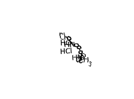 CS(=O)(=O)NC(=O)c1ccc(-c2ccc3c(c2)C[C@@H](NC[C@H](O)c2cccc(Cl)c2)CC3)cc1.Cl